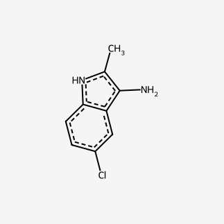 Cc1[nH]c2ccc(Cl)cc2c1N